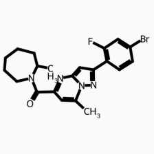 Cc1cc(C(=O)N2CCCCCC2C)nc2cc(-c3ccc(Br)cc3F)nn12